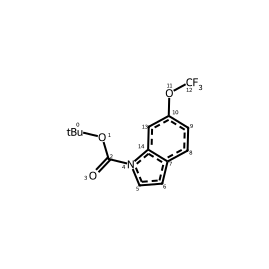 CC(C)(C)OC(=O)n1ccc2ccc(OC(F)(F)F)cc21